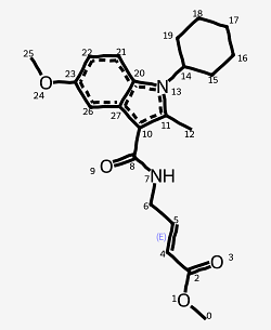 COC(=O)/C=C/CNC(=O)c1c(C)n(C2CCCCC2)c2ccc(OC)cc12